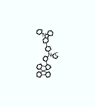 c1ccc(N(c2ccc(-c3ccc4c(c3)c3ccccc3n4-c3ccccc3)cc2)c2cccc(-c3cccc4c3-c3ccccc3C43c4ccccc4-c4ccccc43)c2)cc1